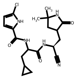 CC1(C)CC(C[C@@H](C#N)NC(=O)C(CC2CC2)NC(=O)c2ccc(Cl)[nH]2)C(=O)N1